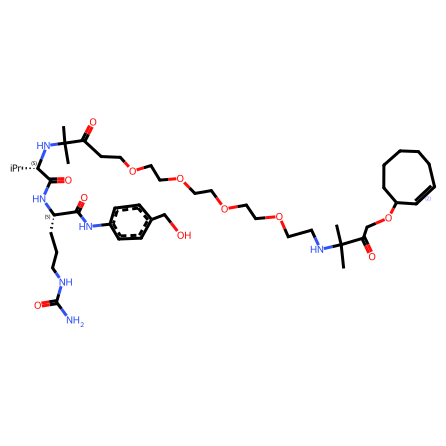 CC(C)[C@H](NC(C)(C)C(=O)CCOCCOCCOCCOCCNC(C)(C)C(=O)COC1/C=C\CCCCC1)C(=O)N[C@@H](CCCNC(N)=O)C(=O)Nc1ccc(CO)cc1